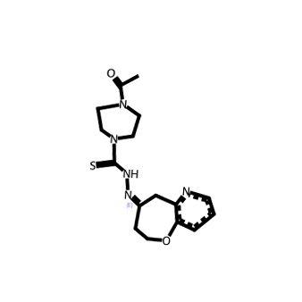 CC(=O)N1CCN(C(=S)N/N=C2/CCOc3cccnc3C2)CC1